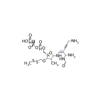 CSSCOC1C(C)C(N/C=C(/C#CCN)C(N)NC=O)O[C@@H]1CO[PH](=O)O[PH](=O)O[PH](=O)O